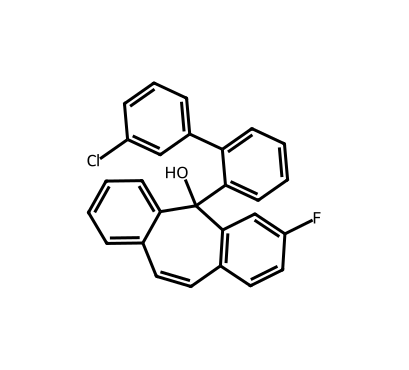 OC1(c2ccccc2-c2cccc(Cl)c2)c2ccccc2C=Cc2ccc(F)cc21